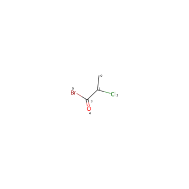 CC(Cl)C(=O)Br